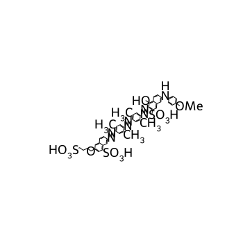 COc1ccc(Nc2ccc3c(O)c(N=Nc4cc(C)c(N=Nc5cc(C)c(N=Nc6ccc7cc(OCCCS(=O)(=O)O)cc(S(=O)(=O)O)c7c6)cc5C)cc4C)c(S(=O)(=O)O)cc3c2)cc1